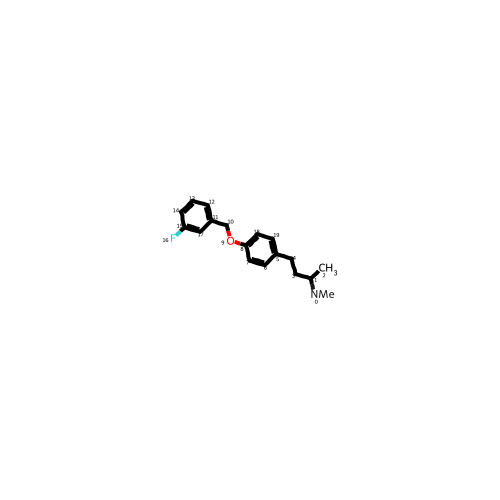 CNC(C)CCc1ccc(OCc2cccc(F)c2)cc1